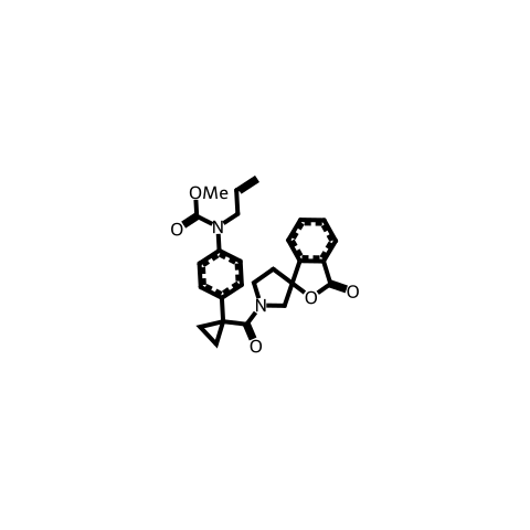 C=CCN(C(=O)OC)c1ccc(C2(C(=O)N3CCC4(C3)OC(=O)c3ccccc34)CC2)cc1